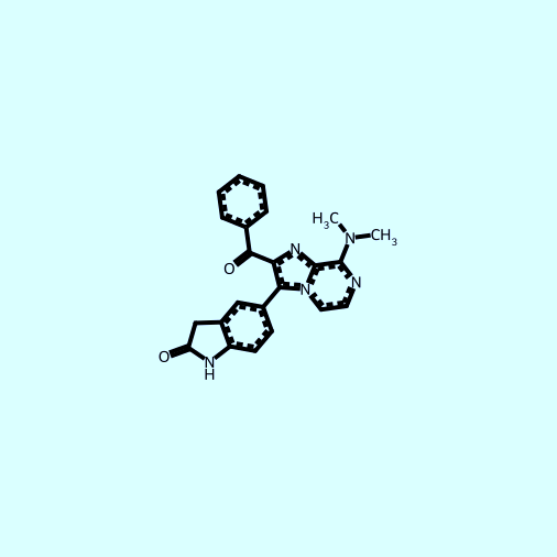 CN(C)c1nccn2c(-c3ccc4c(c3)CC(=O)N4)c(C(=O)c3ccccc3)nc12